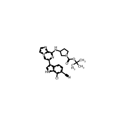 CC(C)(C)OC(=O)N1CCC(Nc2nc(-c3c[nH]c4c(Cl)c(C#N)ccc34)cn3ccnc23)C1